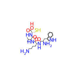 CC(C)[C@H](NC(=O)[C@H](CCCCN)NC(=O)[C@H](N)Cc1c[nH]c2ccccc12)C(=O)N[C@@H](CS)C(=O)O